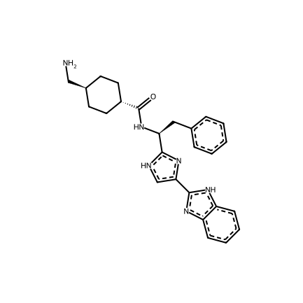 NC[C@H]1CC[C@H](C(=O)N[C@@H](Cc2ccccc2)c2nc(-c3nc4ccccc4[nH]3)c[nH]2)CC1